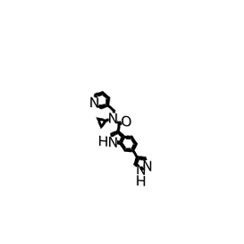 O=C(c1c[nH]c2cc(-c3cn[nH]c3)ccc12)N(Cc1cccnc1)C1CC1